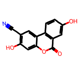 N#Cc1cc2c(cc1O)oc(=O)c1cc(O)ccc12